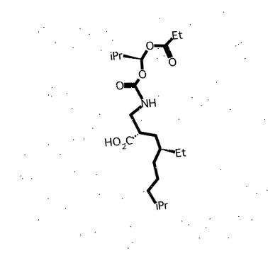 CCC(=O)O[C@@H](OC(=O)NC[C@H](C[C@@H](CC)CCCC(C)C)C(=O)O)C(C)C